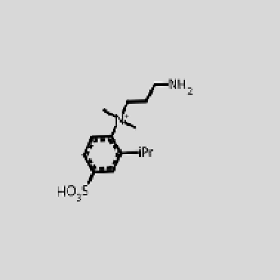 CC(C)c1cc(S(=O)(=O)O)ccc1[N+](C)(C)CCCN